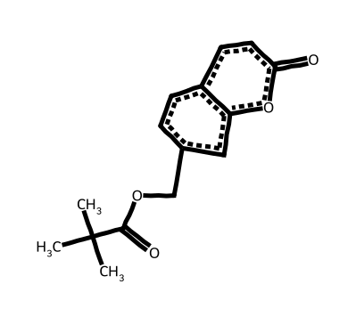 CC(C)(C)C(=O)OCc1ccc2ccc(=O)oc2c1